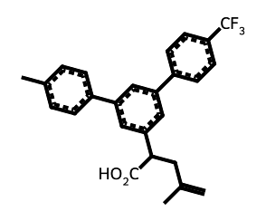 C=C(C)CC(C(=O)O)c1cc(-c2ccc(C)cc2)cc(-c2ccc(C(F)(F)F)cc2)c1